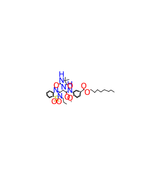 CCCCCCCCOC(=O)c1ccc(OC)c(NC(=O)C(C2=Nc3ccccc3S(=O)(=O)N2CCC)N2C(=O)NC(C)(C)C2=O)c1